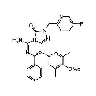 COc1c(C)cc(-c2c(-c3ccccc3)nc(N)n3c(=O)n(Cc4ccc(F)cn4)nc23)cc1C